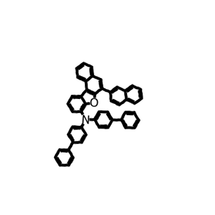 c1ccc(-c2ccc(N(c3ccc(-c4ccccc4)cc3)c3cccc4c3oc3c(-c5ccc6ccccc6c5)cc5ccccc5c34)cc2)cc1